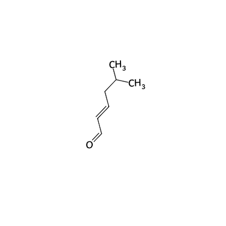 CC(C)C/C=C/C=O